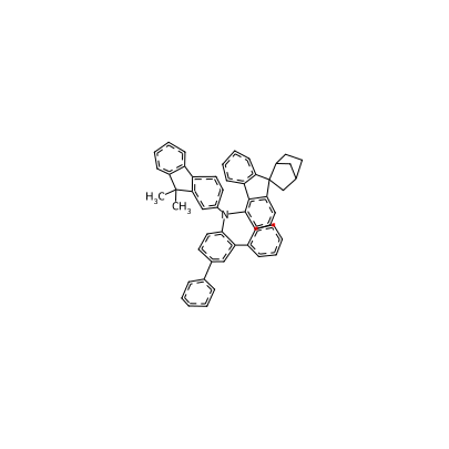 CC1(C)c2ccccc2-c2ccc(N(c3ccc(-c4ccccc4)cc3-c3ccccc3)c3cccc4c3-c3ccccc3C43CC4CCC3C4)cc21